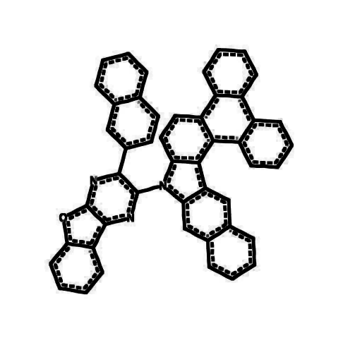 c1ccc2cc(-c3nc4oc5ccccc5c4nc3-n3c4cc5ccccc5cc4c4c5c6ccccc6c6ccccc6c5ccc43)ccc2c1